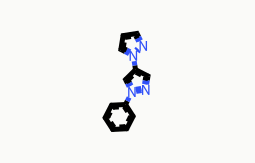 c1ccc(-n2cc(-n3cccn3)cn2)cc1